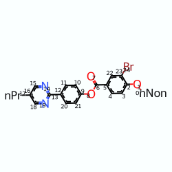 CCCCCCCCCOc1ccc(C(=O)Oc2ccc(-c3ncc(CCC)cn3)cc2)cc1Br